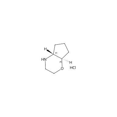 C1C[C@H]2NCCO[C@@H]2C1.Cl